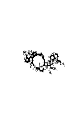 C=CC(=O)N1CCO[C@H]2CCN(C(=O)N(C)[C@H](C(=O)N[C@H]3Cc4nc(cs4)-c4ccc5c(c4)c(c(-c4cccnc4[C@H](C)OC)n5CC)CC(C)(C)COC(=O)[C@@]4(O)CCCN(N4)C3=O)C(C)C)C[C@@H]21